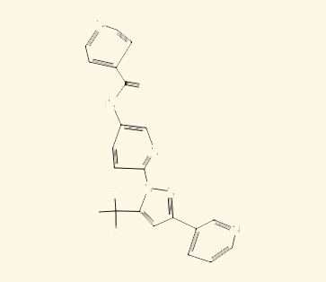 O=C(Nc1ccc(-n2nc(-c3cccnc3)cc2C(F)(F)F)nc1)c1ccncc1